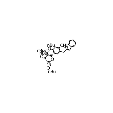 CCCCOC[C@@H]1C[C@H](OCCCC)[C@@H](OCCCC)[C@H](c2cc(Cc3cc4ccccc4s3)c(C)cc2OCCCC)O1